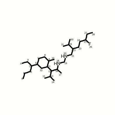 CCCC(CC)C1CCC(C)C(C(C(C)C)C(C)NCNCC(CCC(F)CC)C(C)C)C1